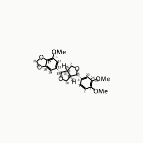 COc1ccc([C@H]2OC[C@@H]3[C@@H]2CO[C@@H]3c2cc(OC)c3c(c2)OCO3)cc1OC